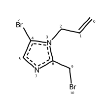 C=CCn1c(Br)cnc1CBr